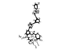 CC(C)CCN(C)c1ccc(-c2noc(-c3cccc(C(=O)NS(=O)(=O)c4ccccc4)c3)n2)cc1NC(=O)C1CCCCC1